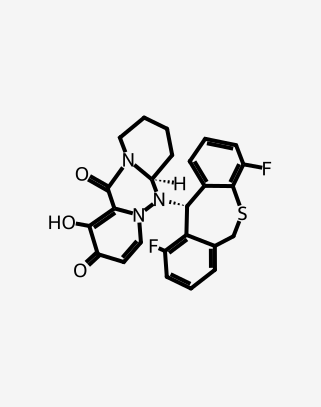 O=C1c2c(O)c(=O)ccn2N([C@@H]2c3cccc(F)c3SCc3cccc(F)c32)[C@@H]2CCCCN12